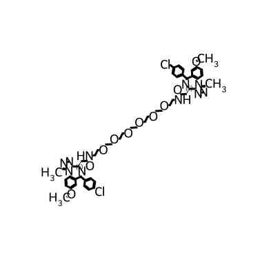 COc1ccc2c(c1)C(c1ccc(Cl)cc1)=N[C@@H](CC(=O)NCCOCCOCCOCCOCCOCCOCCNC(=O)C[C@@H]1N=C(c3ccc(Cl)cc3)c3cc(OC)ccc3-n3c(C)nnc31)c1nnc(C)n1-2